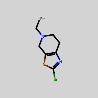 C[C](C)CN1CCc2nc(Br)sc2C1